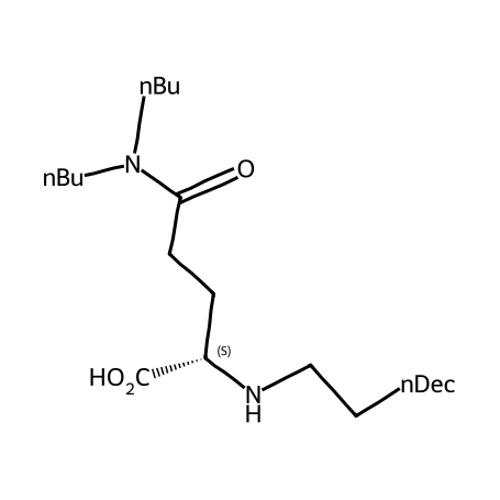 CCCCCCCCCCCCN[C@@H](CCC(=O)N(CCCC)CCCC)C(=O)O